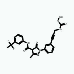 CC1=NN(c2cccc(C#CCNC(=O)OC(C)(C)C)c2)C(=O)C1C(=O)Nc1cccc(C(C)(F)F)c1